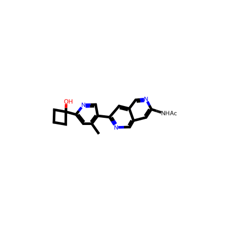 CC(=O)Nc1cc2cnc(-c3cnc(C4(O)CCC4)cc3C)cc2cn1